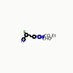 CCOC(=O)CN(C=O)N1CCN(c2ccc(C=Cc3cc(F)cc(-c4ccncc4)c3)cc2)CC1